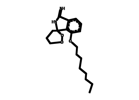 CCCCCCCCOc1cccc2c1C1(CCCOO1)NC2=N